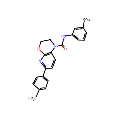 COc1cccc(NC(=O)N2CCOc3nc(-c4ccc(C(=O)O)cc4)ccc32)c1